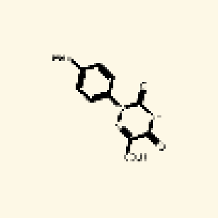 CSc1ccc(-n2nc(C(=O)O)c(=O)[nH]c2=O)cc1